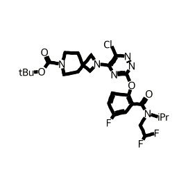 CC(C)N(CC(F)F)C(=O)c1cc(F)ccc1Oc1nnc(Cl)c(N2CC3(CCN(C(=O)OC(C)(C)C)CC3)C2)n1